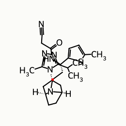 Cc1ccc([C@H](CCN2[C@@H]3CC[C@H]2C[C@H](n2c(C)nnc2C(C)C)C3)NC(=O)CC#N)s1